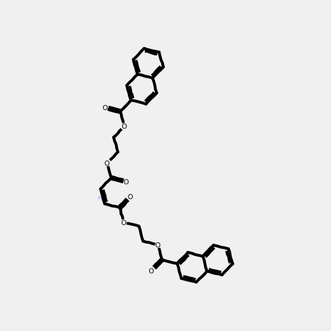 O=C(/C=C\C(=O)OCCOC(=O)c1ccc2ccccc2c1)OCCOC(=O)c1ccc2ccccc2c1